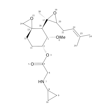 CO[C@@H]1[C@H](OC(=O)CNC2CC2)CC[C@]2(CO2)[C@H]1[C@@]1(C)OC1CC=C(C)C